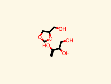 C=C(O)C(O)CO.OCC1COCO1